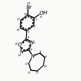 Oc1cc(-c2nc(N3CCCCCC3)no2)ccc1Br